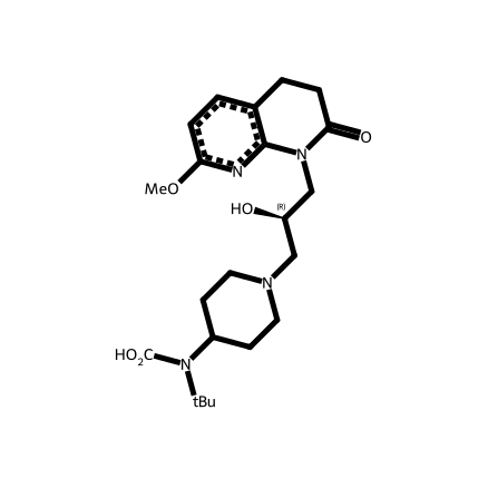 COc1ccc2c(n1)N(C[C@H](O)CN1CCC(N(C(=O)O)C(C)(C)C)CC1)C(=O)CC2